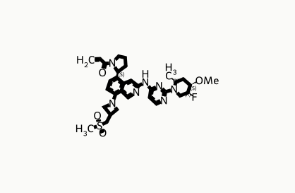 C=CC(=O)N1CCC[C@H]1c1ccc(N2CC(CS(C)(=O)=O)C2)c2cnc(Nc3ccnc(N4C[C@@H](F)[C@@H](OC)C[C@H]4C)n3)cc12